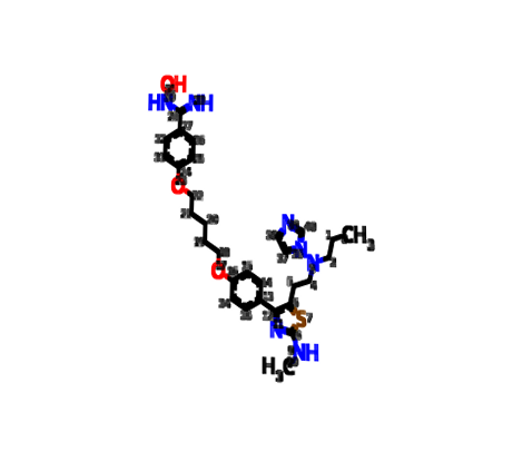 CCCN(CCc1sc(NC)nc1-c1ccc(OCCCCCOc2ccc(C(=N)NO)cc2)cc1)n1ccnc1